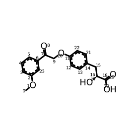 COc1cccc(C(=O)COc2ccc(C[C@H](O)C(=O)O)cc2)c1